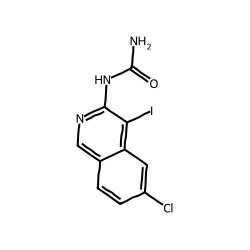 NC(=O)Nc1ncc2ccc(Cl)cc2c1I